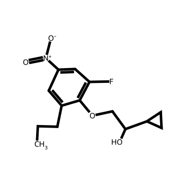 CCCc1cc([N+](=O)[O-])cc(F)c1OCC(O)C1CC1